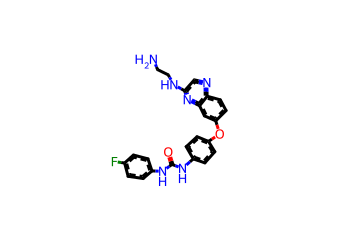 NCCNc1cnc2ccc(Oc3ccc(NC(=O)Nc4ccc(F)cc4)cc3)cc2n1